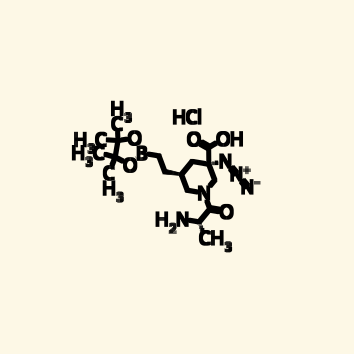 C[C@H](N)C(=O)N1C[C@@H](CCB2OC(C)(C)C(C)(C)O2)C[C@@](N=[N+]=[N-])(C(=O)O)C1.Cl